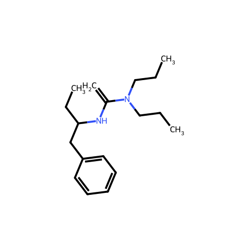 C=C(NC(CC)Cc1ccccc1)N(CCC)CCC